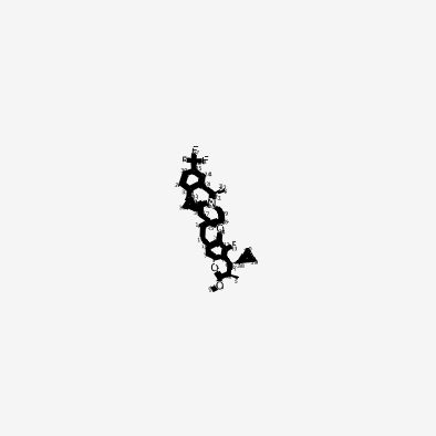 COC(=O)[C@H](C)[C@H](c1ccc2c(c1F)OC1(CC2)CCN([C@H](C)c2cc(C(F)(F)F)ccc2C2CC2)CC1)C1CC1